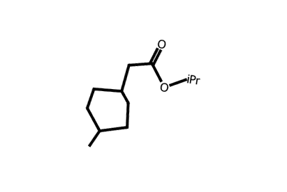 CC1CCC(CC(=O)OC(C)C)CC1